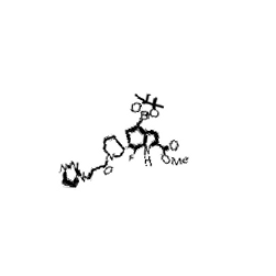 COC(=O)c1cc2c(B3OC(C)(C)C(C)(C)O3)cc([C@H]3CCCN(C(=O)CCn4ccnn4)C3)c(F)c2[nH]1